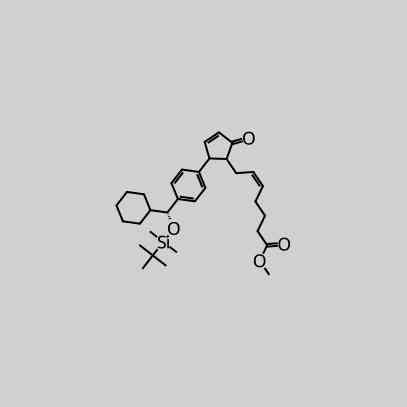 COC(=O)CCC/C=C\CC1C(=O)C=CC1c1ccc([C@H](O[Si](C)(C)C(C)(C)C)C2CCCCC2)cc1